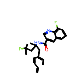 C=C/C=C\C(=C/C)CC(C)(CC(C)(C)F)NC(=O)c1cnc2c(F)cccc2c1